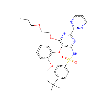 CCCOCCOc1nc(-c2ncccn2)nc(NS(=O)(=O)c2ccc(C(C)(C)C)cc2)c1Oc1ccccc1OC